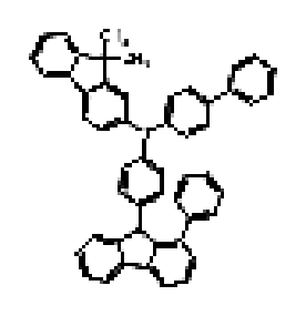 CC1(C)c2ccccc2-c2ccc(N(c3ccc(-c4ccccc4)cc3)c3ccc(C4c5ccccc5-c5cccc(-c6ccccc6)c54)cc3)cc21